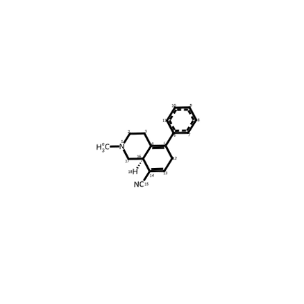 CN1CCC2=C(c3ccccc3)CC=C(C#N)[C@H]2C1